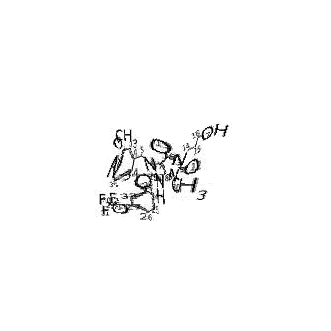 COc1cc(CN2c3c(n(C)c(=O)n(CCCO)c3=O)NC2Oc2cccc(OC(F)(F)F)c2)ccn1